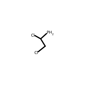 PC(Cl)CCl